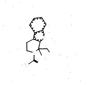 CCC1(CC(=O)O)c2[nH]c3ccccc3c2CCN1C(N)=O